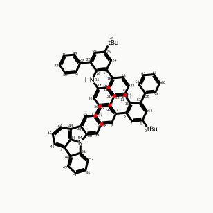 CC(C)(C)c1cc(-c2ccccc2)c(Nc2cc(Nc3c(-c4ccccc4)cc(C(C)(C)C)cc3-c3ccccc3)cc(-c3ccc4c(c3)c3cccc5c6ccccc6n4c53)c2)c(-c2ccccc2)c1